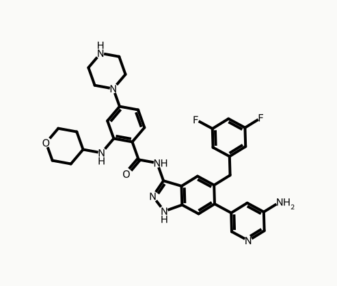 Nc1cncc(-c2cc3[nH]nc(NC(=O)c4ccc(N5CCNCC5)cc4NC4CCOCC4)c3cc2Cc2cc(F)cc(F)c2)c1